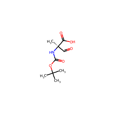 CC(C)(C)OC(=O)N[C@](C)(C=O)C(=O)O